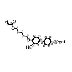 C=CC(=O)OCCCCCOc1ccc(-c2ccc(CCCCC)cc2)cc1O